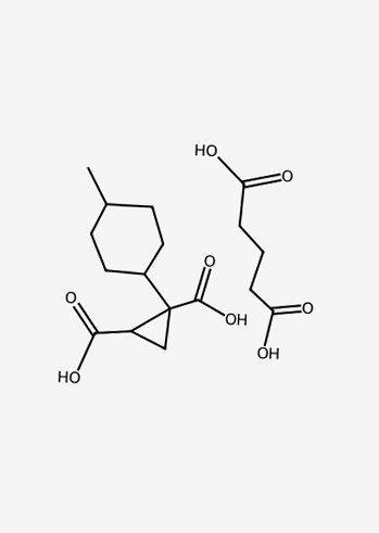 CC1CCC(C2(C(=O)O)CC2C(=O)O)CC1.O=C(O)CCCC(=O)O